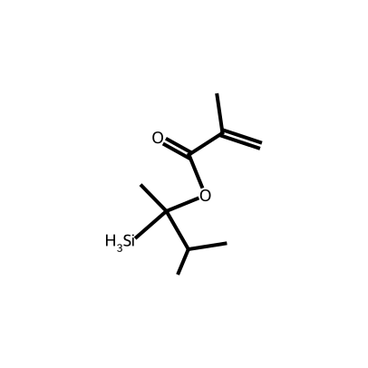 C=C(C)C(=O)OC(C)([SiH3])C(C)C